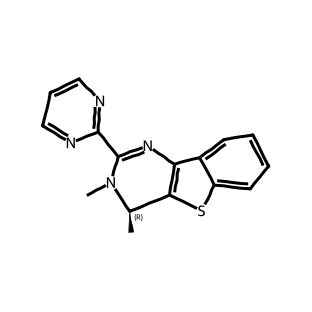 C[C@@H]1c2sc3ccccc3c2N=C(c2ncccn2)N1C